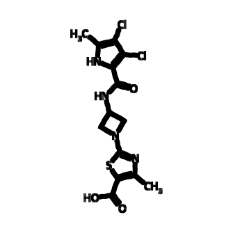 Cc1nc(N2CC(NC(=O)c3[nH]c(C)c(Cl)c3Cl)C2)sc1C(=O)O